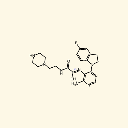 C/C(=N\c1c(C)ncnc1N1CCc2cc(F)ccc21)C(=O)NCCN1CCNCC1